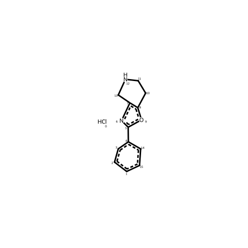 Cl.c1ccc(-c2nc3c(o2)CCNC3)cc1